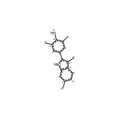 Cc1cc(-c2[nH]c3cc(F)ccc3c2C)cc(C)c1O